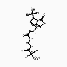 CCC(O)(CC)C1C2CC3C(OC(=O)C31)C2OCC(=O)OCCC(F)C(F)(F)S(=O)(=O)O